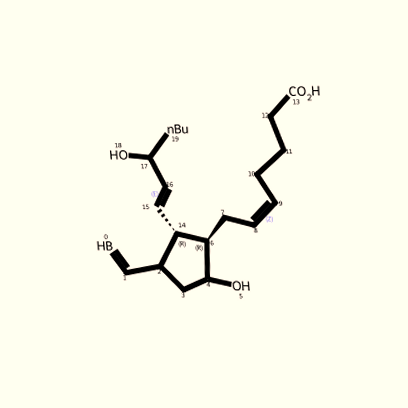 B=CC1CC(O)[C@H](C/C=C\CCCC(=O)O)[C@H]1/C=C/C(O)CCCC